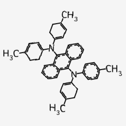 CC1=CC=C(N(C2=CC=C(C)CC2)c2c3ccccc3c(N(C3=CC=C(C)CC3)c3ccc(C)cc3)c3ccccc23)CC1